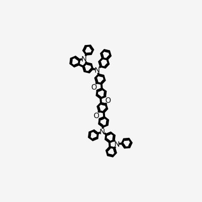 c1ccc(N(c2ccc3c(c2)oc2cc4c(cc23)oc2cc3c(cc24)oc2cc(N(c4ccc5ccccc5c4)c4ccc5c6ccccc6n(-c6ccccc6)c5c4)ccc23)c2ccc3c(c2)c2ccccc2n3-c2ccccc2)cc1